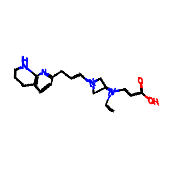 CCN(CCC(=O)O)C1CN(CCCc2ccc3c(n2)NCCC3)C1